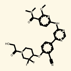 COc1nc(Nc2cc(-c3ccc(OC4CCN(C(=O)CO)CC4(F)F)c(C#N)c3)ncn2)ccc1C(=O)N(C)C